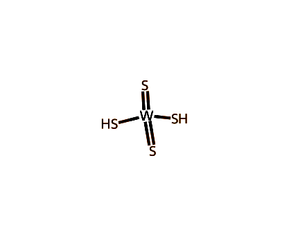 [S]=[W](=[S])([SH])[SH]